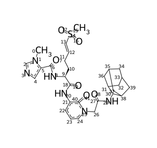 Cn1cncc1C(=O)N[C@@H](CC/C=C/S(C)(=O)=O)C(=O)Nc1cccn(CC(=O)NC2C3CC4CC(C3)CC2C4)c1=O